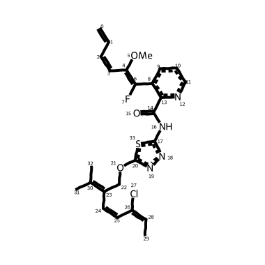 C=C/C=C\C(OC)=C(/F)c1cccnc1C(=O)Nc1nnc(OCC(/C=C\C(Cl)=C/C)=C(C)C)s1